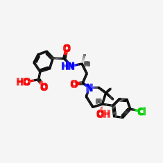 C[C@H](CC(=O)N1CC[C@](O)(c2ccc(Cl)cc2)C(C)(C)C1)NC(=O)c1cccc(C(=O)O)c1